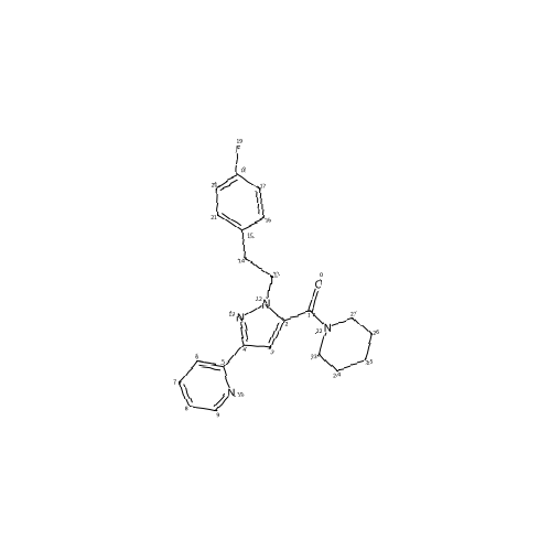 O=C(c1cc(-c2ccccn2)nn1CCc1ccc(F)cc1)N1CCCCC1